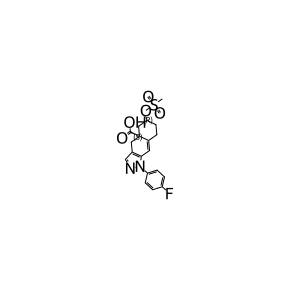 CS(=O)(=O)O[C@@H]1CCC2=Cc3c(cnn3-c3ccc(F)cc3)C[C@]2(C(=O)O)C1